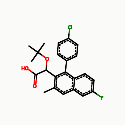 Cc1cc2cc(F)ccc2c(-c2ccc(Cl)cc2)c1C(OC(C)(C)C)C(=O)O